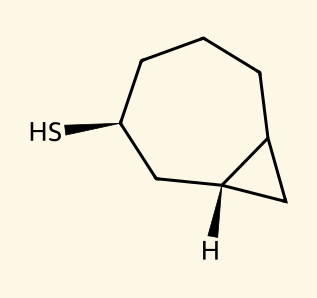 S[C@H]1CCCC2C[C@@H]2C1